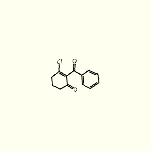 O=C1CCCC(Cl)=C1C(=O)c1ccccc1